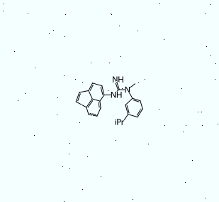 CC(C)c1cccc(N(C)C(=N)Nc2ccc3c4c(cccc24)C=C3)c1